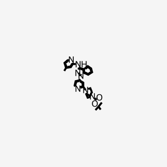 Cc1ccnc(Nc2nn(-c3ccnc(N4CC5CC4CN5C(=O)OC(C)(C)C)c3)c3ccccc23)c1